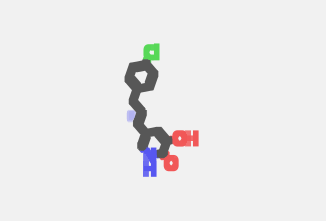 O=c1[nH]cc(/C=C/Cc2ccc(Cl)cc2)cc1O